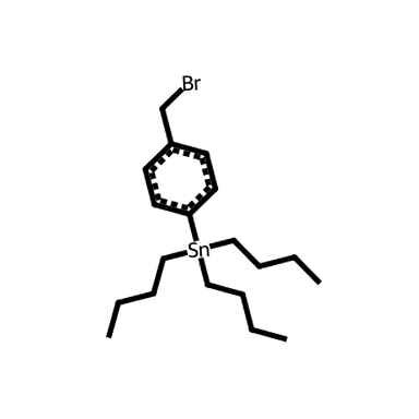 CCC[CH2][Sn]([CH2]CCC)([CH2]CCC)[c]1ccc(CBr)cc1